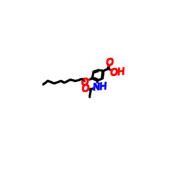 CCCCCCCCOc1ccc(C(=O)O)cc1NC(C)=O